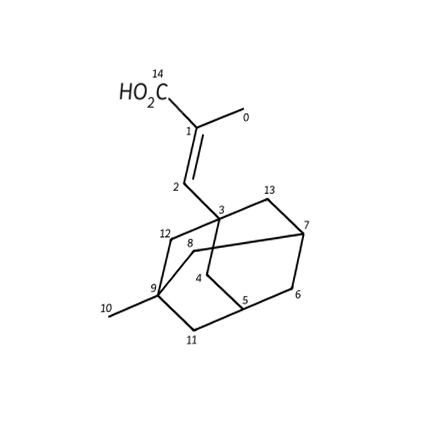 CC(=CC12CC3CC(CC(C)(C3)C1)C2)C(=O)O